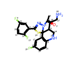 CC(=O)N1N=C(c2cc(F)ccc2F)SC12c1cc(F)ccc1NCC2CCN